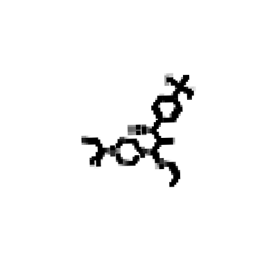 C=CC(=O)N1CCN(/C(=N/C=C\C)C(=C)C(O)c2ccc(C(C)(F)F)cc2)CC1